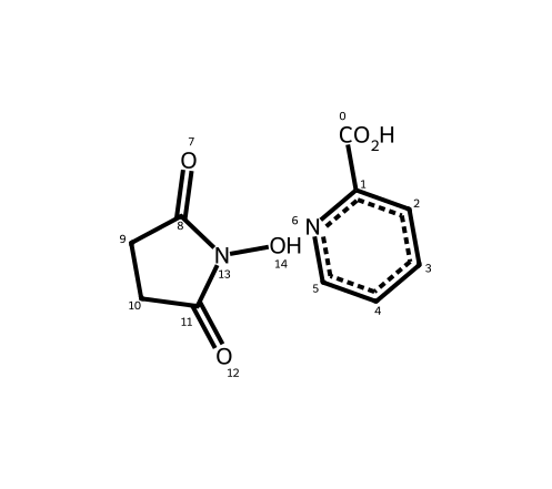 O=C(O)c1ccccn1.O=C1CCC(=O)N1O